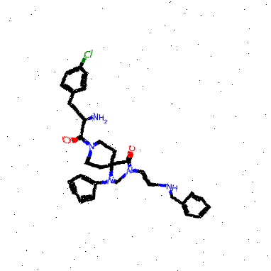 N[C@H](Cc1ccc(Cl)cc1)C(=O)N1CCC2(CC1)C(=O)N(CCNCc1ccccc1)CN2c1ccccc1